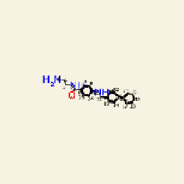 NCCNC(=O)c1ccc(NCc2ccc(-c3ccccc3)cc2)cc1